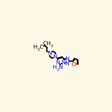 CC(C)CCN1CCN(c2cc3nc(-c4ccco4)nn3c(N)n2)CC1